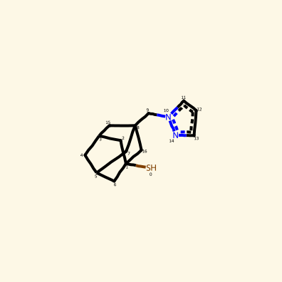 SC12CC3CC(C1)CC(Cn1cccn1)(C3)C2